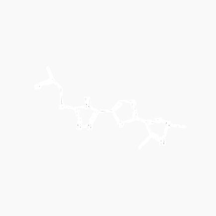 CC(=O)CSc1nnc(-c2ccc(-c3cn(C)nc3C)o2)[nH]1